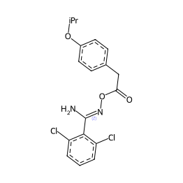 CC(C)Oc1ccc(CC(=O)O/N=C(\N)c2c(Cl)cccc2Cl)cc1